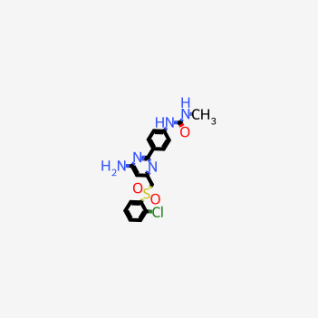 CNC(=O)Nc1ccc(-c2nc(N)cc(CS(=O)(=O)c3ccccc3Cl)n2)cc1